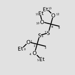 CCOC(C)(OCC)SSC(C)(OCC)OCC